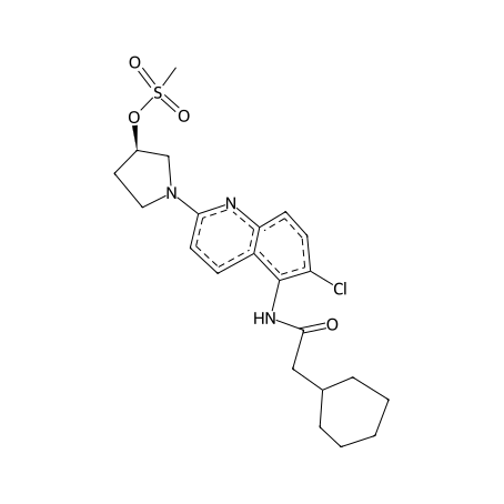 CS(=O)(=O)O[C@@H]1CCN(c2ccc3c(NC(=O)CC4CCCCC4)c(Cl)ccc3n2)C1